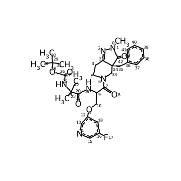 CN1N=C2CCN(C(=O)C(COc3cncc(F)c3)NC(=O)C(C)(C)NC(=O)OC(C)(C)C)C[C@@]2(Cc2ccccc2)C1=O